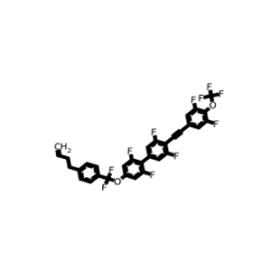 C=CCCc1ccc(C(F)(F)Oc2cc(F)c(-c3cc(F)c(C#Cc4cc(F)c(OC(F)(F)F)c(F)c4)c(F)c3)c(F)c2)cc1